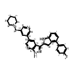 Fc1ccc(-c2cccc3[nH]c(-c4n[nH]c5ncc(-c6cncc(CN7CCCCC7)c6)cc45)cc23)cc1